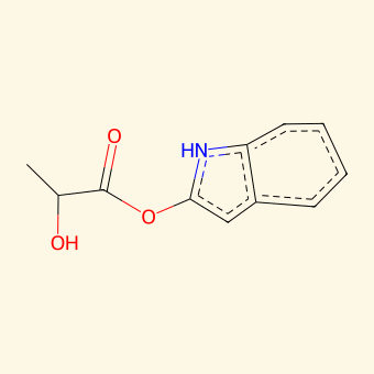 CC(O)C(=O)Oc1cc2ccccc2[nH]1